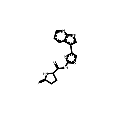 O=C1CCC(C(=O)Nc2nc(-c3c[nH]c4ncccc34)cs2)N1